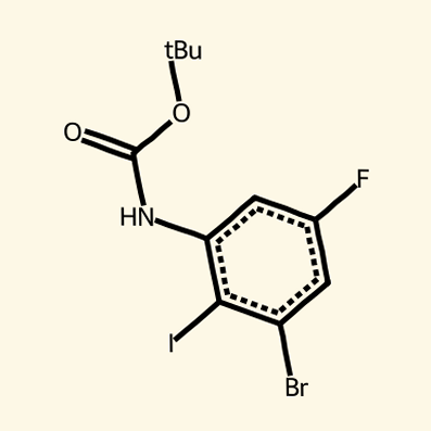 CC(C)(C)OC(=O)Nc1cc(F)cc(Br)c1I